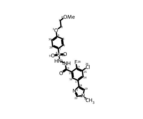 COCCOc1ccc(S(=O)(=O)NNC(=O)c2cc(-c3cn(C)cn3)cc(Cl)c2F)cc1